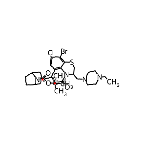 CCN1CCN(CC2CSc3c(Br)c(Cl)cc4c(N5CC6CCC(C5)N6C(=O)OC(C)(C)C)nc(=O)n2c34)CC1